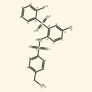 CCc1ccc(S(=O)(=O)Nc2ccc(Cl)cc2S(=O)(=O)c2ccccc2F)cc1